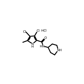 Cc1[nH]c(C(=O)NC2CCNCC2)c(Cl)c1Cl.Cl